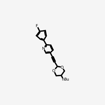 CCCCC1COC(C#Cc2ccc(-c3ccc(F)cc3)nc2)OC1